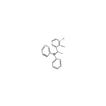 Cc1cccc(C(C)P(c2ccccc2)c2ccccc2)c1C